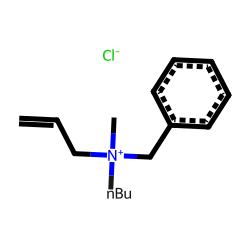 C=CC[N+](C)(CCCC)Cc1ccccc1.[Cl-]